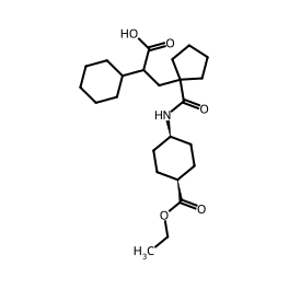 CCOC(=O)[C@H]1CC[C@@H](NC(=O)C2(CC(C(=O)O)C3CCCCC3)CCCC2)CC1